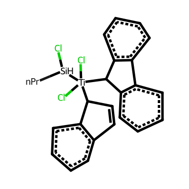 CCC[SiH](Cl)[Ti]([Cl])([Cl])([CH]1C=Cc2ccccc21)[CH]1c2ccccc2-c2ccccc21